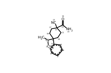 CN(C)C1(c2ccccc2)CCC(C#N)(C(N)=O)CC1